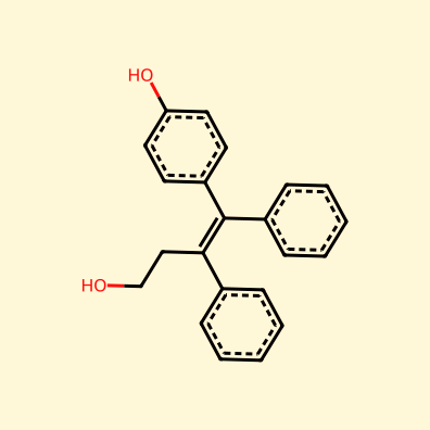 OCC/C(=C(/c1ccccc1)c1ccc(O)cc1)c1ccccc1